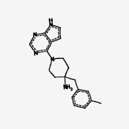 Cc1cccc(CC2(N)CCN(c3ncnc4[nH]ccc34)CC2)c1